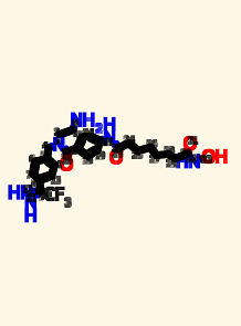 NCCN(Cc1ccc(C2(C(F)(F)F)NN2)cc1)C(=O)c1ccc(NC(=O)CCCCCCC(=O)NO)cc1